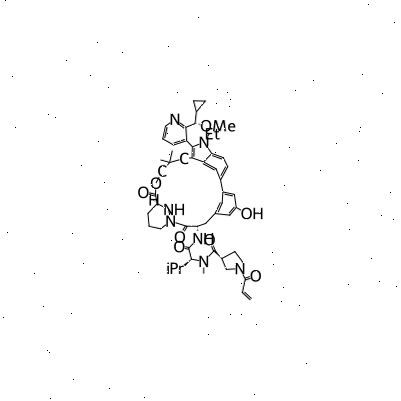 C=CC(=O)N1CC[C@H](C(=O)N(C)[C@H](C(=O)N[C@H]2Cc3cc(O)cc(c3)-c3ccc4c(c3)c(c(-c3cccnc3[C@@H](OC)C3CC3)n4CC)CC(C)(C)COC(=O)[C@@H]3CCCN(N3)C2=O)C(C)C)C1